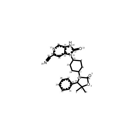 CC1(C)OC(=O)N(C2CCC(n3c(=O)[nH]c4cnc(C#N)cc43)CC2)C1c1ccccc1